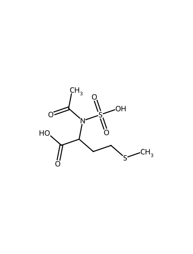 CSCCC(C(=O)O)N(C(C)=O)S(=O)(=O)O